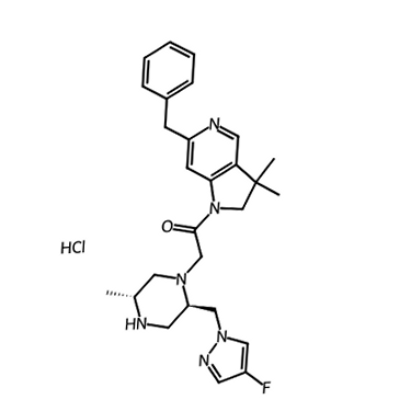 C[C@@H]1CN(CC(=O)N2CC(C)(C)c3cnc(Cc4ccccc4)cc32)[C@@H](Cn2cc(F)cn2)CN1.Cl